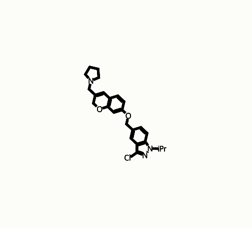 CC(C)n1nc(Cl)c2cc(COc3ccc4c(c3)OCC(CN3CCCC3)=C4)ccc21